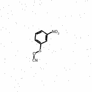 N#COSc1cccc([N+](=O)[O-])c1